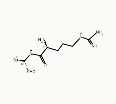 CC[C@H](C)[C@@H]([C]=O)NC(=O)[C@@H](N)CCCNC(=N)N